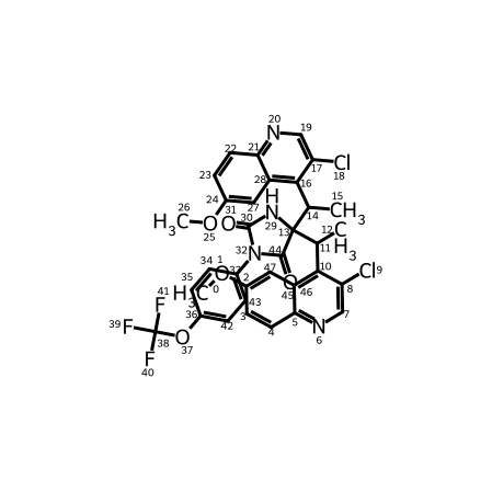 COc1ccc2ncc(Cl)c(C(C)C3(C(C)c4c(Cl)cnc5ccc(OC)cc45)NC(=O)N(c4ccc(OC(F)(F)F)cc4)C3=O)c2c1